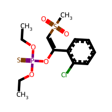 CCOP(=S)(OCC)OC(=CS(C)(=O)=O)c1ccccc1Cl